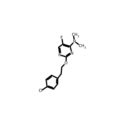 CN(C)c1nc(OCCc2ccc(Cl)cc2)ncc1F